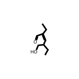 CCC(C=O)=CC(CC)CO